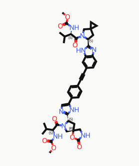 COC(=O)N[C@H](C(=O)N1C[C@]2(CNC(=O)O2)C[C@H]1c1ncc(-c2ccc(C#Cc3ccc4nc([C@@H]5CC6(CC6)CN5C(=O)[C@@H](NC(=O)OC)C(C)C)[nH]c4c3)cc2)[nH]1)C(C)C